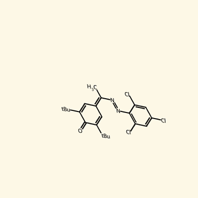 CC(N=Nc1c(Cl)cc(Cl)cc1Cl)=C1C=C(C(C)(C)C)C(=O)C(C(C)(C)C)=C1